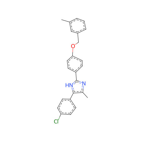 Cc1cccc(COc2ccc(-c3nc(C)c(-c4ccc(Cl)cc4)[nH]3)cc2)c1